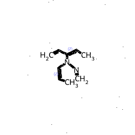 C=C/C(=C/C)N(/C=C\C)N=C